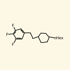 CCCCCCC1CCC(CCc2cc(F)c(F)c(F)c2)CC1